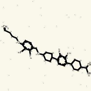 C=CCCCOc1ccc(COC2CCC(c3ccc(C4CCC(C(O)CCC)CC4)c(F)c3F)CC2)c(F)c1F